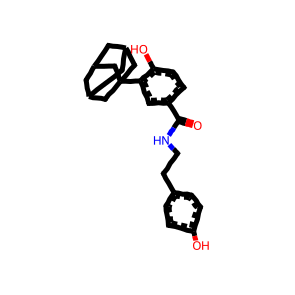 O=C(NCCc1ccc(O)cc1)c1ccc(O)c(C23CC4CC(CC(C4)C2)C3)c1